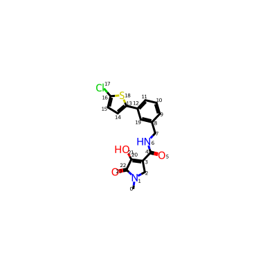 CN1CC(C(=O)NCc2cccc(-c3ccc(Cl)s3)c2)=C(O)C1=O